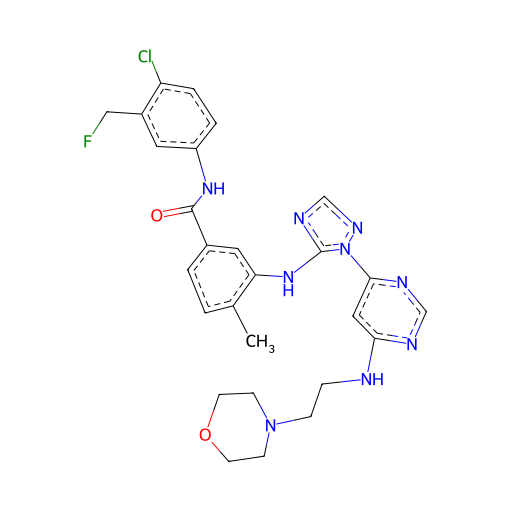 Cc1ccc(C(=O)Nc2ccc(Cl)c(CF)c2)cc1Nc1ncnn1-c1cc(NCCN2CCOCC2)ncn1